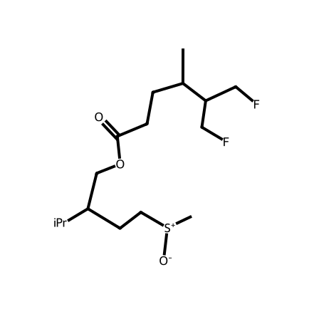 CC(C)C(CC[S+](C)[O-])COC(=O)CCC(C)C(CF)CF